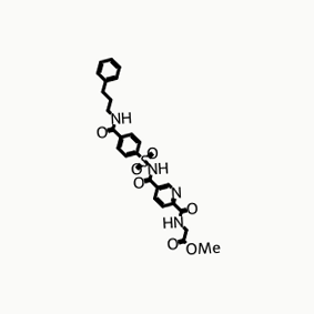 COC(=O)CNC(=O)c1ccc(C(=O)NS(=O)(=O)c2ccc(C(=O)NCCCc3ccccc3)cc2)cn1